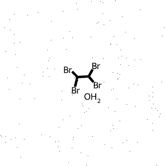 BrC(Br)C(Br)Br.O